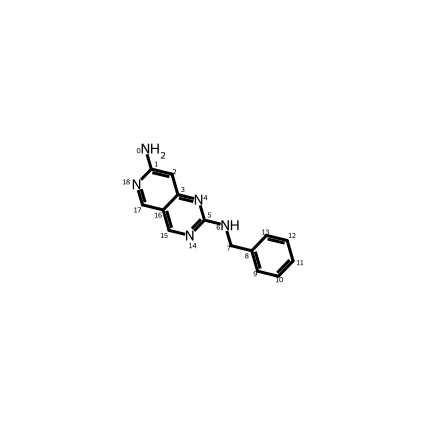 Nc1cc2nc(NCc3ccccc3)ncc2cn1